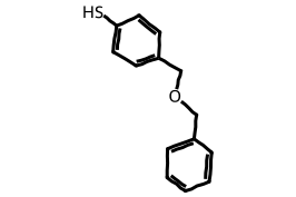 Sc1ccc(COCc2ccccc2)cc1